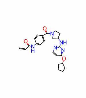 C=CC(=O)Nc1ccc(C(=O)N2CCC(Nc3nccc(OC4CCCC4)n3)C2)cc1